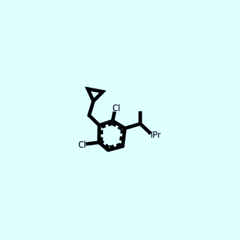 CC(C)C(C)c1c[c]c(Cl)c(CC2CC2)c1Cl